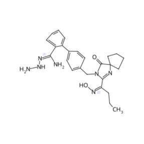 CCC/C(=N/O)C1=NC2(CCCC2)C(=O)N1Cc1ccc(-c2ccccc2/C(N)=N/NN)cc1